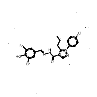 CCCc1c(C(=O)NN=Cc2cc(Br)c(O)c(Br)c2)cnn1-c1ccc(Cl)cc1